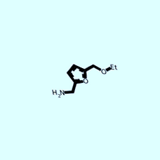 CCOCc1ccc(CN)o1